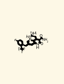 NC(=O)c1c(CC(O)O)c2ncc(Cc3ccc(F)cc3C(F)(F)F)cc2[nH]c1=O